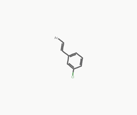 CC(=O)C=Cc1cccc(Cl)c1